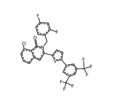 O=c1c2c(Cl)cccc2cc(-c2ccc(-c3cc(C(F)(F)F)cc(C(F)(F)F)c3)s2)n1Cc1ccc(F)cc1F